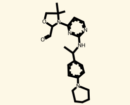 CC(Nc1nccc(N2C(C=O)OCC2(C)C)n1)c1ccc(N2CCCCC2)cc1